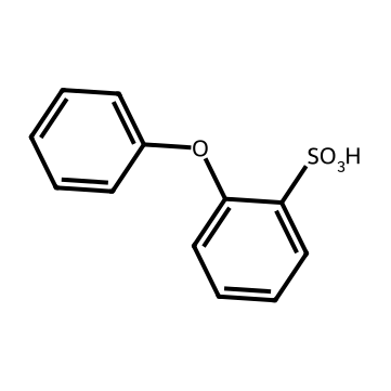 O=S(=O)(O)c1ccccc1Oc1ccccc1